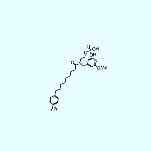 CCCc1ccc(CCCCCCCCC(=O)N(CCOP(=O)(O)O)Cc2ccnc(OC)c2)cc1